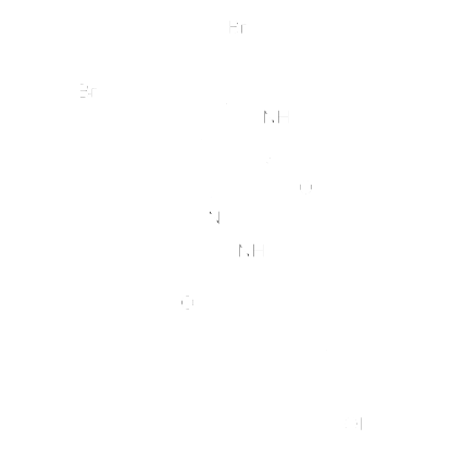 O=C1Nc2c(Br)cc(Br)cc2/C1=N/NC(=O)c1ccc(O)cc1